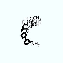 CC(C)(C)[C@@H](Oc1nc(Oc2cccc(-c3cccc(CN)c3)c2)c(F)cc1F)C(=O)O